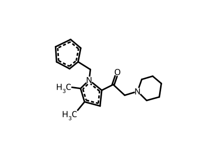 Cc1cc(C(=O)CN2CCCCC2)n(Cc2ccccc2)c1C